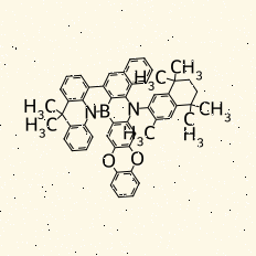 Cc1cc2c(cc1N1c3cc4c(cc3B3c5c(cc6ccccc6c51)-c1cccc5c1N3c1ccccc1C5(C)C)Oc1ccccc1O4)C(C)(C)CCC2(C)C